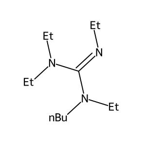 CCCCN(CC)C(=NCC)N(CC)CC